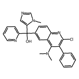 CN(C)c1c(-c2ccccc2)c(Cl)nc2ccc(C(O)(c3ccccn3)c3cncn3C)cc12